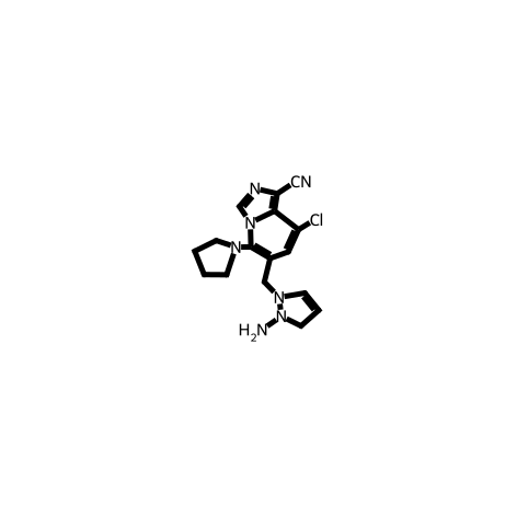 N#Cc1ncn2c(N3CCCC3)c(CN3C=CCN3N)cc(Cl)c12